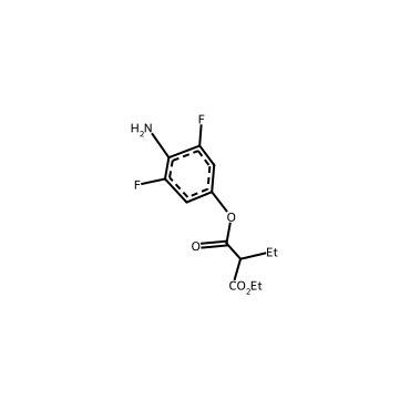 CCOC(=O)C(CC)C(=O)Oc1cc(F)c(N)c(F)c1